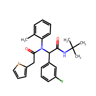 Cc1ccccc1N(C(=O)Cc1cccs1)C(C(=O)NC(C)(C)C)c1cccc(F)c1